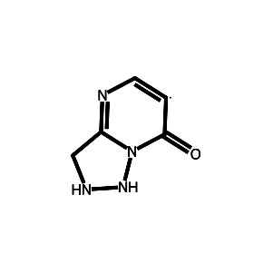 O=c1[c]cnc2n1NNC2